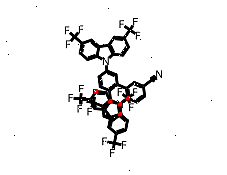 N#Cc1ccc(-n2c3ccc(C(F)(F)F)cc3c3cc(C(F)(F)F)ccc32)c(-c2cc(-n3c4ccc(C(F)(F)F)cc4c4cc(C(F)(F)F)ccc43)ccc2-c2c(C(F)(F)F)cccc2C(F)(F)F)c1